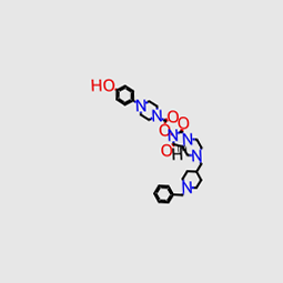 O=C(ON1C(=O)[C@H]2CN(CC3CCN(Cc4ccccc4)CC3)CCN2C1=O)N1CCN(c2ccc(O)cc2)CC1